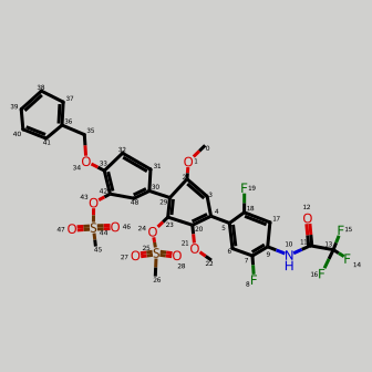 COc1cc(-c2cc(F)c(NC(=O)C(F)(F)F)cc2F)c(OC)c(OS(C)(=O)=O)c1-c1ccc(OCc2ccccc2)c(OS(C)(=O)=O)c1